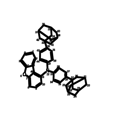 c1ccc2c(c1)oc1cccc(N(c3ccc(C45CC6CC(CC(C6)C4)C5)cc3)c3ccc(C45CC6CC(CC(C6)C4)C5)cc3)c12